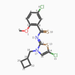 COc1ccc(Cl)cc1C(=S)N=c1sc(Cl)cn1CC1CCC1